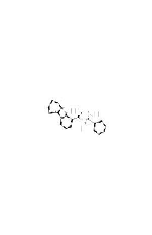 N=C(NC(N)c1ccccc1)c1cccc2c1oc1ccccc12